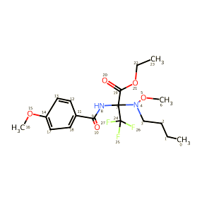 CCCCN(OC)C(NC(=O)c1ccc(OC)cc1)(C(=O)OCC)C(F)(F)F